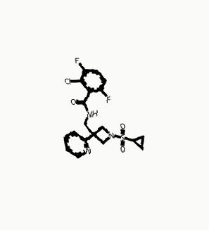 O=C(NCC1(c2ccccn2)CN(S(=O)(=O)C2CC2)C1)c1c(F)ccc(F)c1Cl